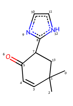 CC1(C)C=CC(=O)C(c2ncc[nH]2)C1